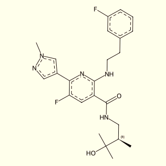 C[C@H](CNC(=O)c1cc(F)c(-c2cnn(C)c2)nc1NCCc1cccc(F)c1)C(C)(C)O